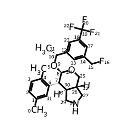 Cc1ccc(C)c([C@@H]2[C@@H](O[C@H](C)c3cc(CF)cc(C(F)(F)F)c3)OC[C@@H]3CNC[C@H]32)c1